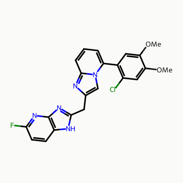 COc1cc(Cl)c(-c2cccc3nc(Cc4nc5nc(F)ccc5[nH]4)cn23)cc1OC